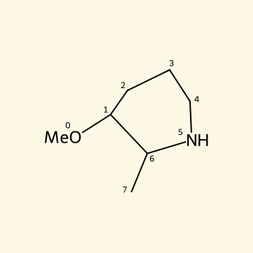 COC1CCCNC1C